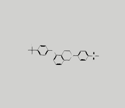 CS(=O)(=O)c1ccc(N2CCc3c(cccc3Oc3ccc(C(F)(F)F)cc3)C2)cc1